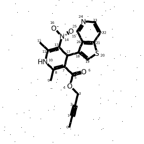 CC#CCOC(=O)C1=C(C)NC(C)=C([N+](=O)[O-])C1c1csc2ccncc12